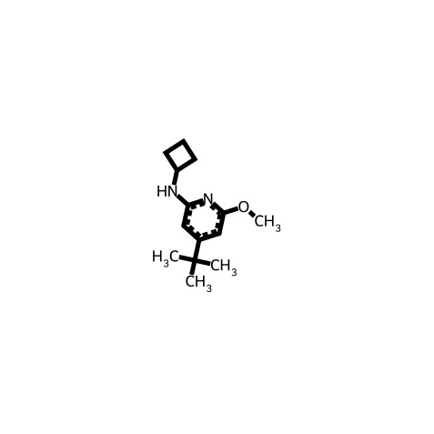 COc1cc(C(C)(C)C)cc(NC2CCC2)n1